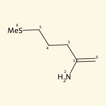 C=C(N)CCCSC